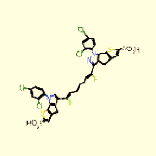 O=S(=O)(O)c1cc2c(s1)-c1c(c(/C(F)=C/CCC/C=C(\F)c3nn(-c4ccc(Cl)cc4Cl)c4c3Cc3cc(S(=O)(=O)O)sc3-4)cn1-c1ccc(Cl)cc1Cl)C2